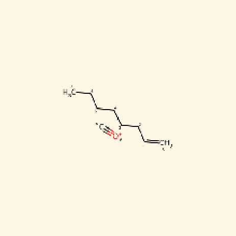 C=CCCCCCC.[C-]#[O+]